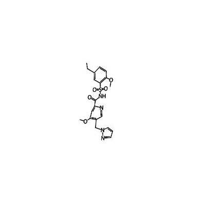 CCc1ccc(OC)c(S(=O)(=O)NC(=O)c2cc(OC)c(Cn3cccn3)cn2)c1